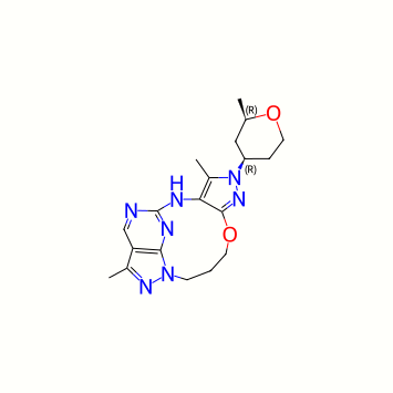 Cc1nn2c3nc(ncc13)Nc1c(nn([C@@H]3CCO[C@H](C)C3)c1C)OCCC2